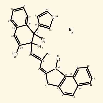 [2H]C1(C=C(C)C=C2Sc3ccc4ccccc4c3N2CC)C(O)=Cc2ccccc2C1(CC)[n+]1ccsc1.[Br-]